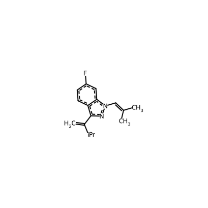 C=C(c1nn(C=C(C)C)c2cc(F)ccc12)C(C)C